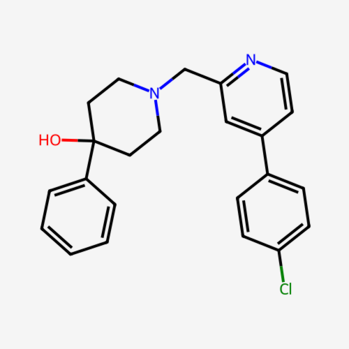 OC1(c2ccccc2)CCN(Cc2cc(-c3ccc(Cl)cc3)ccn2)CC1